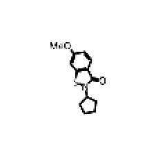 COc1ccc2c(=O)n(C3CCCC3)sc2c1